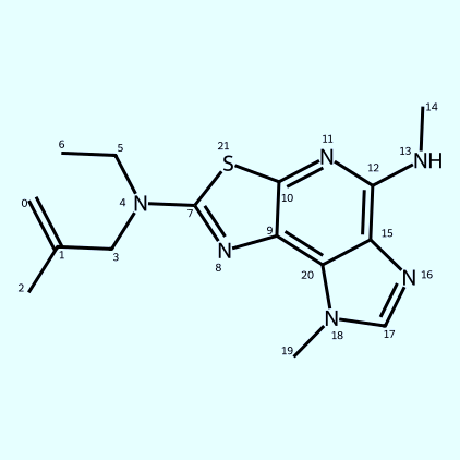 C=C(C)CN(CC)c1nc2c(nc(NC)c3ncn(C)c32)s1